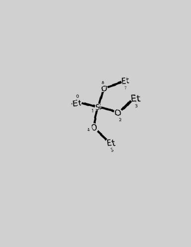 C[CH][Si](OCC)(OCC)OCC